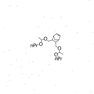 CCCOC(C)OCC1C2C=CC(C2)C1COC(C)OCCC